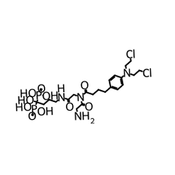 NCC(=O)N(CC(=O)NCCCC(O)(P(=O)(O)O)P(=O)(O)O)C(=O)CCCc1ccc(N(CCCl)CCCl)cc1